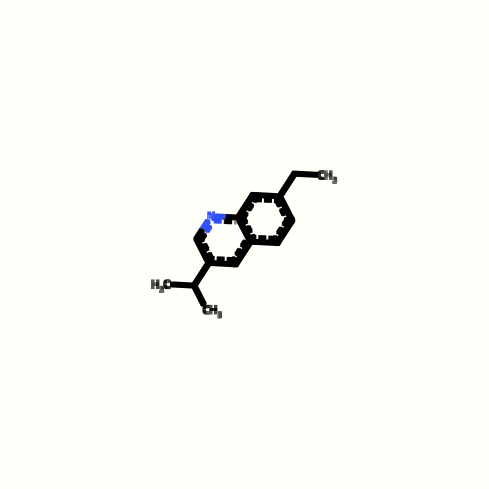 CCc1ccc2cc(C(C)C)cnc2c1